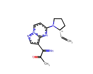 C=C[C@H]1CCCN1c1ccn2ncc(C(=N)C(C)=O)c2n1